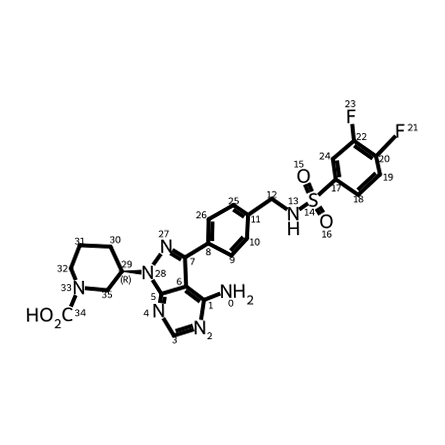 Nc1ncnc2c1c(-c1ccc(CNS(=O)(=O)c3ccc(F)c(F)c3)cc1)nn2[C@@H]1CCCN(C(=O)O)C1